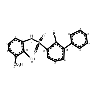 O=C(O)c1cccc(NS(=O)(=O)c2cccc(-c3ccccc3)c2F)c1O